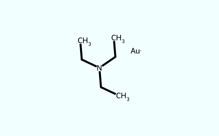 CCN(CC)CC.[Au]